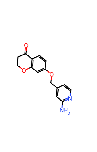 Nc1cc(COc2ccc3c(c2)OCCC3=O)ccn1